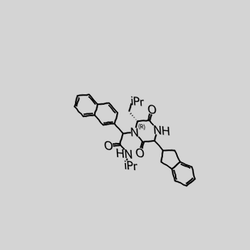 CC(C)C[C@@H]1C(=O)NC(C2Cc3ccccc3C2)C(=O)N1C(C(=O)NC(C)C)c1ccc2ccccc2c1